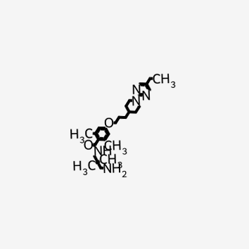 CCc1cnc(N2CCC(CCCOc3cc(C)c(C(=O)NCC(C)(C)CN)c(C)c3)CC2)nc1